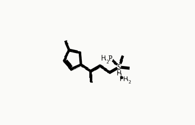 CC1C=CC(C(C)CC[SH](C)(C)(P)P)C1